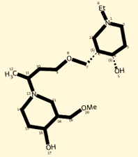 CCN1CC[C@H](O)[C@H](COCCC(C)N2CCC(O)C(COC)C2)C1